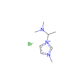 CC(N(C)C)[n+]1ccn(C)c1.[Br-]